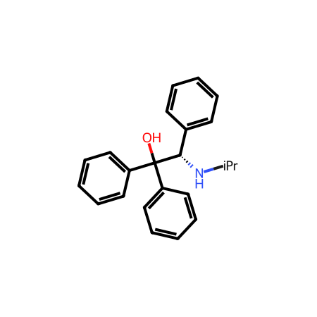 CC(C)N[C@@H](c1ccccc1)C(O)(c1ccccc1)c1ccccc1